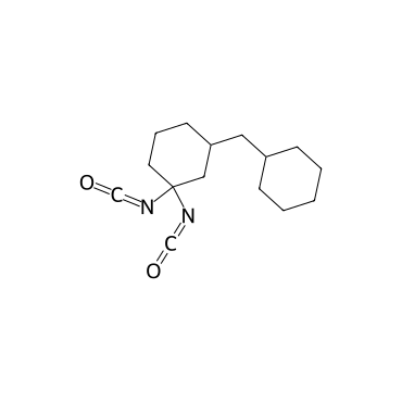 O=C=NC1(N=C=O)CCCC(CC2CCCCC2)C1